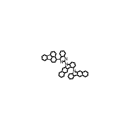 c1ccc2c(c1)-c1cccc3c(-c4nc(-n5c6cc7ccccc7cc6c6c(-n7c8ccccc8c8cc9ccccc9cc87)cccc65)nc5ccccc45)ccc-2c13